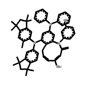 C=C1/C=C(C(C)(C)C)\C=C/Cc2c(cc(N(c3ccccc3)c3ccccc3)cc2N(c2ccc3c(c2)C(C)(C)CC3(C)C)c2cc3c(cc2C)C(C)(C)CC3(C)C)N1c1cccc(C(C)(C)C)c1